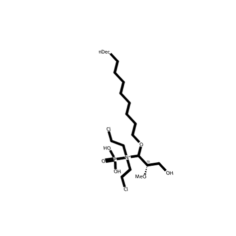 CCCCCCCCCCCCCCCCCCOC([C@H](CO)OC)[N+](CCCl)(CCCl)P(=O)(O)O